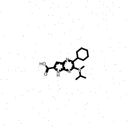 CC(C)N(C)c1nc2[nH]c(C(=O)O)cc2nc1C1CCCCC1